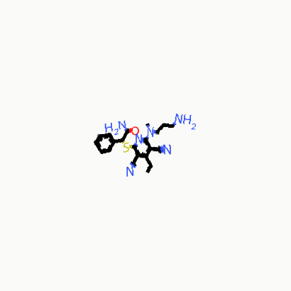 CCc1c(C#N)c(SC(C(N)=O)c2ccccc2)nc(N(C)CCCN)c1C#N